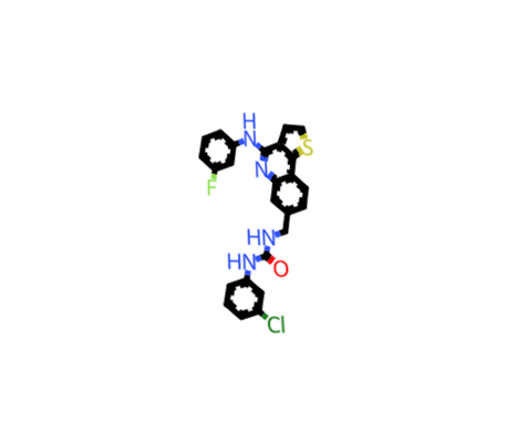 O=C(NCc1ccc2c(c1)nc(Nc1cccc(F)c1)c1ccsc12)Nc1cccc(Cl)c1